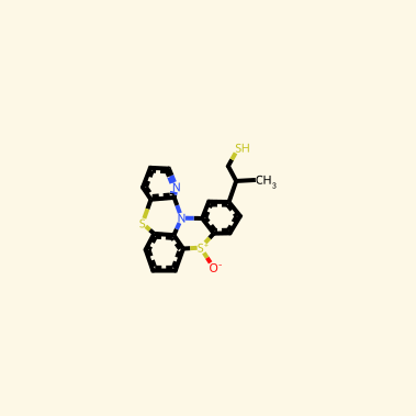 CC(CS)c1ccc2c(c1)N1c3ncccc3Sc3cccc(c31)[S+]2[O-]